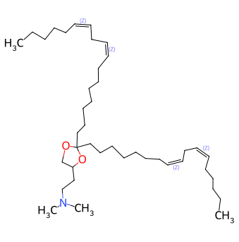 CCCCC/C=C\C/C=C\CCCCCCCC1(CCCCCCC/C=C\C/C=C\CCCCC)OCC(CCN(C)C)O1